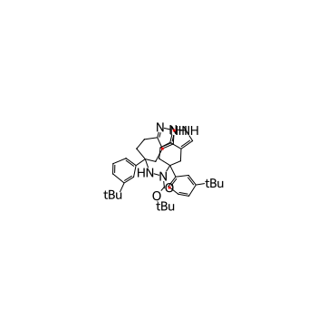 CC(C)(C)OC(=O)N(NC1(c2cccc(C(C)(C)C)c2)CCc2n[nH]cc2C1)C1(c2cccc(C(C)(C)C)c2)CCc2n[nH]cc2C1